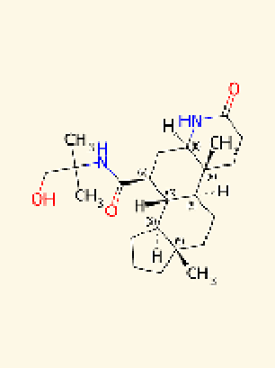 CC(C)(CO)NC(=O)[C@H]1C[C@H]2NC(=O)CC[C@]2(C)[C@H]2CC[C@]3(C)CCC[C@H]3[C@H]12